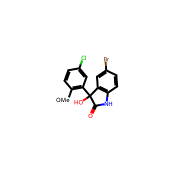 COc1ccc(Cl)cc1C1(O)C(=O)Nc2ccc(Br)cc21